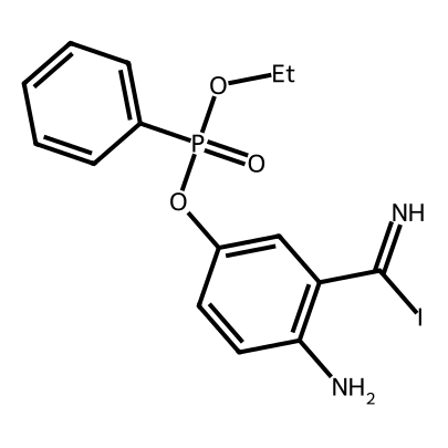 CCOP(=O)(Oc1ccc(N)c(C(=N)I)c1)c1ccccc1